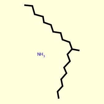 CCCCCCCCCCC(C)CCCCCCCC.N